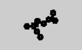 c1ccc(-c2ccc(-c3nc(-c4ccccc4)nc4c3sc3c(-c5cccc(-c6ccc7c(c6)c6ccccc6n7-c6ccccc6)c5)cccc34)cc2)cc1